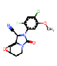 COc1cc(N2C(=O)N3CCC4OC4=C3C2C#N)c(F)cc1Cl